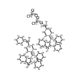 Cn1c(-c2ccccc2)c(C(=C2C=CC(=[N+](C)C)C=C2)c2ccccc2)c2ccccc21.Cn1c(-c2ccccc2)c(C(=C2C=CC(=[N+](C)c3ccccc3)C=C2)c2ccccc2)c2ccccc21.[Cl][Zn-]([Cl])[Cl].[Cl][Zn-]([Cl])[Cl]